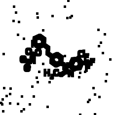 CCc1nc2cc(C(F)(F)F)c(Cl)cc2n1-c1ccc(CCc2cccnc2OC(=O)N=S(=O)=O)cc1